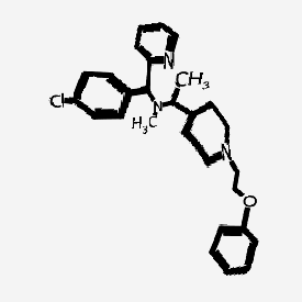 CC(C1CCN(CCOc2ccccc2)CC1)N(C)C(c1ccc(Cl)cc1)c1ccccn1